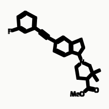 COC(=O)C1CCN(C2CCc3cc(C#Cc4cccc(F)c4)ccc32)CC1(C)C